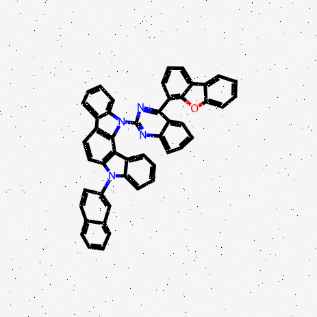 c1ccc2cc(-n3c4ccccc4c4c3ccc3c5ccccc5n(-c5nc(-c6cccc7c6oc6ccccc67)c6ccccc6n5)c34)ccc2c1